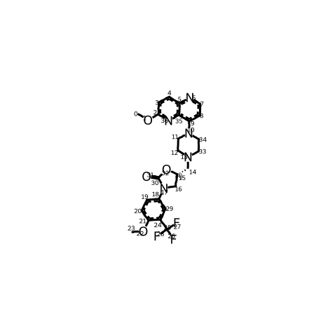 COc1ccc2nccc(N3CCN(C[C@@H]4CN(c5ccc(OC)c(C(F)(F)F)c5)C(=O)O4)CC3)c2n1